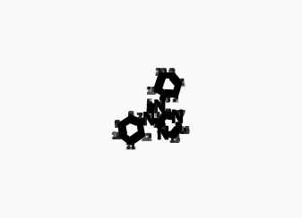 c1ccc(-n2c[n+](-c3ccccc3)c3nccnc32)cc1